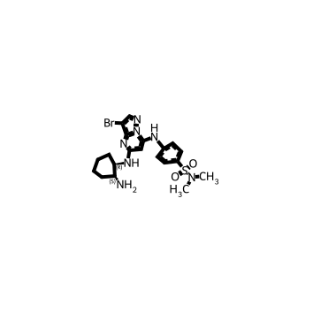 CN(C)S(=O)(=O)c1ccc(Nc2cc(N[C@@H]3CCCC[C@@H]3N)nc3c(Br)cnn23)cc1